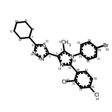 Cc1c(-c2nnc(C3CCCCC3)s2)nc(-c2ccc(Cl)cc2Cl)n1-c1ccc(Br)cc1